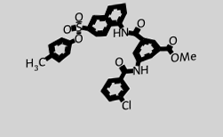 COC(=O)c1cc(NC(=O)c2cccc(Cl)c2)cc(C(=O)Nc2cccc3cc(S(=O)(=O)Oc4ccc(C)cc4)ccc23)c1